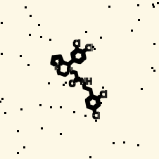 O=C(CN1CCn2cccc2C1c1ccc(Cl)c(Cl)c1)NCCc1ccc(Cl)cc1Cl